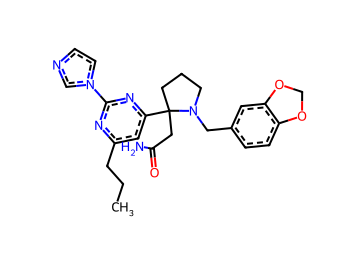 CCCc1cc(C2(CC(N)=O)CCCN2Cc2ccc3c(c2)OCO3)nc(-n2ccnc2)n1